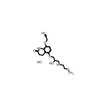 C#CCOc1ccc(OCC(O)CNCCOC)c2c1NC(=O)CC2.Cl